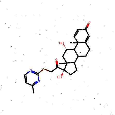 Cc1ccnc(SCC(=O)[C@@]2(O)CCC3C4CCC5=CC(=O)C=CC5(C)C4[C@@H](O)CC32C)n1